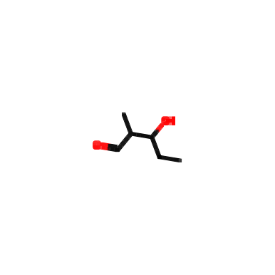 CCC(O)C(C)C=O